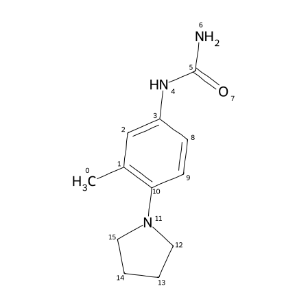 Cc1cc(NC(N)=O)ccc1N1CCCC1